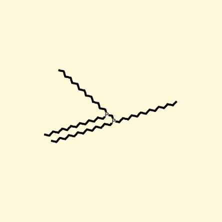 CCCCCCCCCCCCCCP(CCCCCCCCCCCCCC)CP(CCCCCCCCCCCCCC)CCCCCCCCCCCCCC